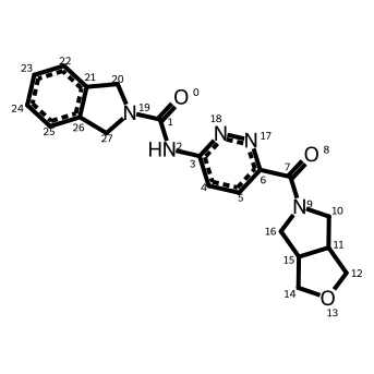 O=C(Nc1ccc(C(=O)N2CC3COCC3C2)nn1)N1Cc2ccccc2C1